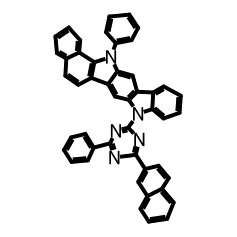 c1ccc(-c2nc(-c3ccc4ccccc4c3)nc(-n3c4ccccc4c4cc5c(cc43)c3ccc4ccccc4c3n5-c3ccccc3)n2)cc1